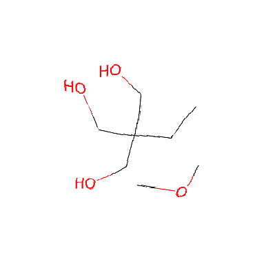 CCC(CO)(CO)CO.COC